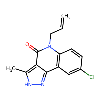 C=CCn1c(=O)c2c(C)[nH]nc2c2cc(Cl)ccc21